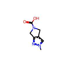 Cn1cc2c(n1)CN(C(=O)O)C2